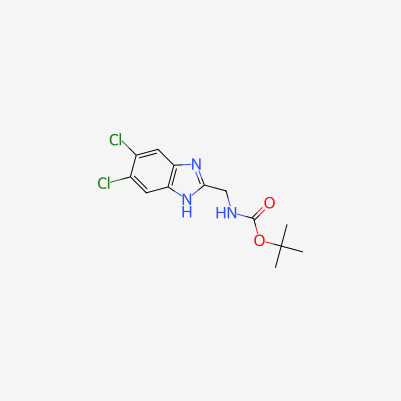 CC(C)(C)OC(=O)NCc1nc2cc(Cl)c(Cl)cc2[nH]1